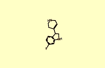 Fc1ccc2c(c1)NCC2C1=CCNCC1